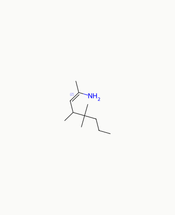 CCCC(C)(C)C(C)/C=C(/C)N